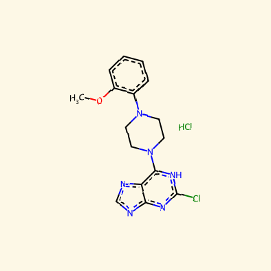 COc1ccccc1N1CCN(c2[nH]c(Cl)nc3ncnc2-3)CC1.Cl